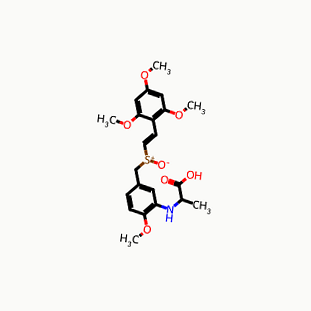 COc1cc(OC)c(C=C[S+]([O-])Cc2ccc(OC)c(NC(C)C(=O)O)c2)c(OC)c1